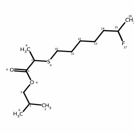 CC(C)COC(=O)C(C)SCCCCCC(C)F